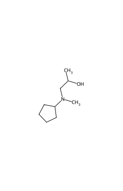 CC(O)CN(C)C1CCCC1